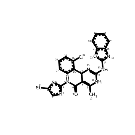 CCc1cnc(NC(=O)C2=C(C)NC(Nc3nc4ccccc4o3)=NC2c2ccccc2Cl)s1